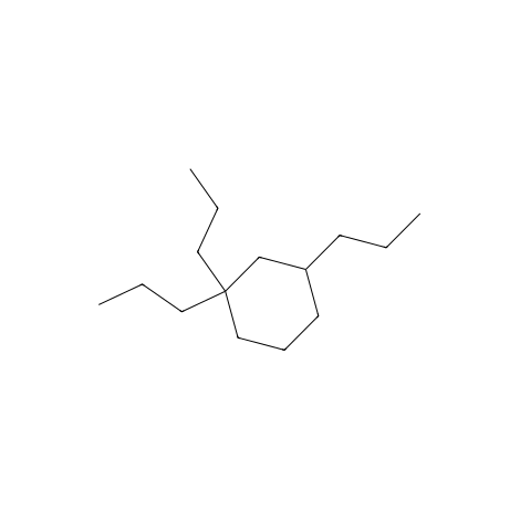 CCCC1CCCC(CCC)(CCC)C1